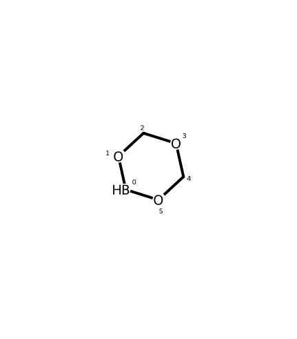 B1OCOCO1